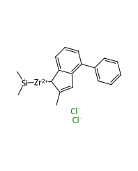 CC1=Cc2c(-c3ccccc3)cccc2[CH]1[Zr+2][Si](C)C.[Cl-].[Cl-]